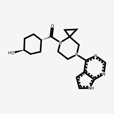 O=C([C@H]1CC[C@H](O)CC1)N1CCN(c2ncnc3[nH]ccc23)CC12CC2